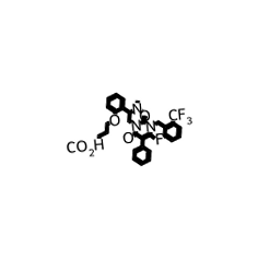 Cc1c(-c2ccccc2)c(=O)n(CC(c2ccccc2OCCCC(=O)O)N(C)C)c(=O)n1Cc1c(F)cccc1C(F)(F)F